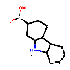 OB(O)C1CCC2C(C1)NC1CCCCC12